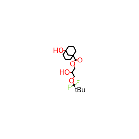 CC(C)(C)C(F)(F)OCC(O)COC(=O)C12CCCC(O)(CCC1)C2